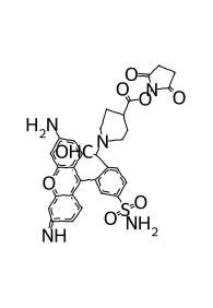 N=c1ccc2c(-c3cc(S(N)(=O)=O)ccc3C(C=O)N3CCC(C(=O)ON4C(=O)CCC4=O)CC3)c3ccc(N)cc3oc-2c1